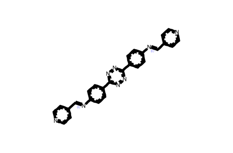 C(=N\c1ccc(-c2nnc(-c3ccc(/N=C/c4ccncc4)cc3)nn2)cc1)/c1ccncc1